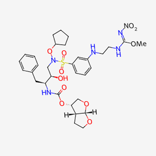 COC(=N[N+](=O)[O-])NCCNc1cccc(S(=O)(=O)N(C[C@@H](O)[C@H](Cc2ccccc2)NC(=O)O[C@@H]2CO[C@@H]3OCC[C@@H]32)OC2CCCC2)c1